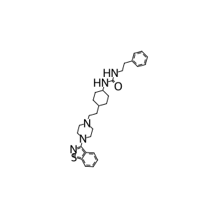 O=C(NCCc1ccccc1)NC1CCC(CCN2CCN(c3nsc4ccccc34)CC2)CC1